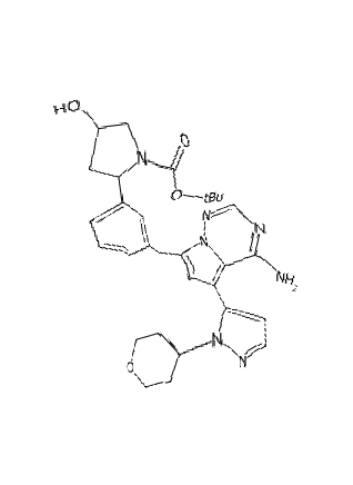 CC(C)(C)OC(=O)N1CC(O)CC1c1cccc(-c2cc(-c3ccnn3C3CCOCC3)c3c(N)ncnn23)c1